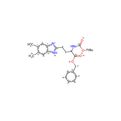 Cc1cc2nc(CCC(NC(=O)OC(C)(C)C)C(=O)OCc3ccccc3)[nH]c2cc1C